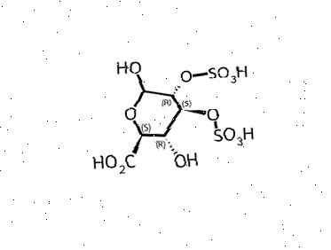 O=C(O)[C@H]1OC(O)[C@H](OS(=O)(=O)O)[C@@H](OS(=O)(=O)O)[C@@H]1O